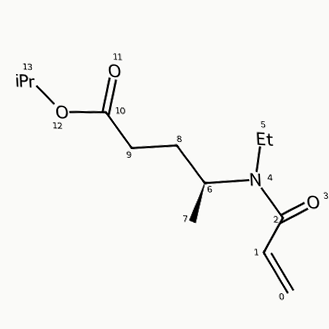 C=CC(=O)N(CC)[C@@H](C)CCC(=O)OC(C)C